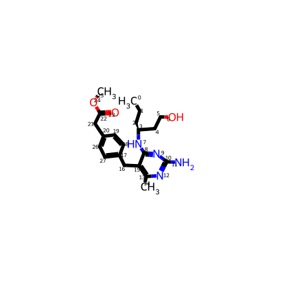 CCC[C@@H](CCO)Nc1nc(N)nc(C)c1Cc1ccc(CC(=O)OC)cc1